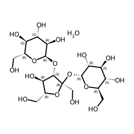 O.OC[C@H]1O[C@](CO)(O[C@H]2O[C@H](CO)[C@@H](O)[C@H](O)[C@H]2O)[C@@H](O[C@H]2O[C@H](CO)[C@@H](O)[C@H](O)[C@H]2O)[C@@H]1O